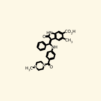 Cc1cc2c(cc1C(=O)O)NC(=O)C2=C(Nc1ccc(C(=O)N2CCN(C)CC2)cc1)c1ccccc1